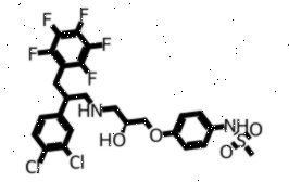 CS(=O)(=O)Nc1ccc(OC[C@@H](O)CNCC(Cc2c(F)c(F)c(F)c(F)c2F)c2ccc(Cl)c(Cl)c2)cc1